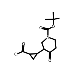 CC(C)(C)OC(=O)N1CCC(=O)C(C2CC2C(=O)Cl)C1